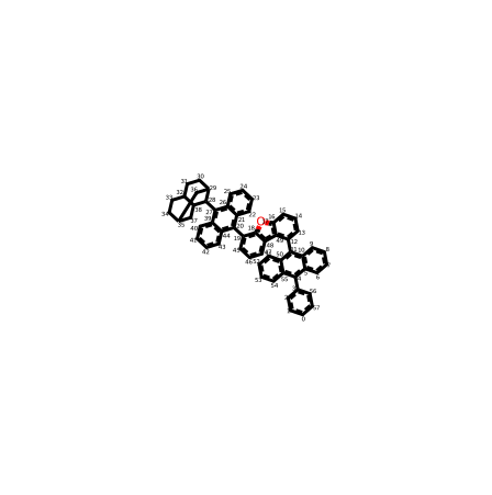 c1ccc(-c2c3ccccc3c(-c3cccc4oc5c(-c6c7ccccc7c(C7C8CCC9CCC(C8)CC97)c7ccccc67)cccc5c34)c3ccccc23)cc1